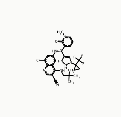 Cn1cccc([C@H](Nc2cc(Cl)c3ncc(C#N)c(NCC(C)(C)C)c3c2)C2=CN(C3(C(F)(F)F)CC3)NN2)c1=O